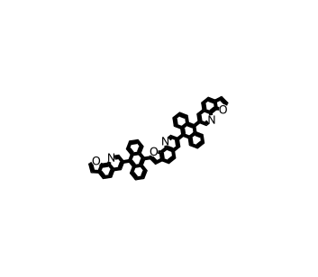 c1ccc2c(-c3cnc4c(ccc5cc(-c6c7ccccc7c(-c7cnc8c(ccc9ccoc98)c7)c7ccccc67)oc54)c3)c3ccccc3c(-c3cnc4c(ccc5ccoc54)c3)c2c1